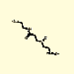 CC(C)NCC[S+]([O-])CCC(=O)NCCC(C)(C)C